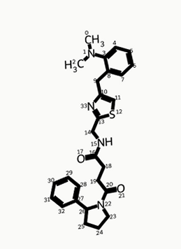 CN(C)c1ccccc1Cc1csc(CNC(=O)CCC(=O)N2CCCC2c2ccccc2)n1